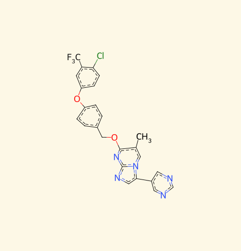 Cc1cn2c(-c3cncnc3)cnc2nc1OCc1ccc(Oc2ccc(Cl)c(C(F)(F)F)c2)cc1